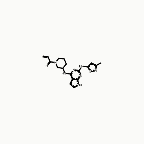 C=CC(=O)N1CCCC(Nc2nc(Nc3cc(C)ns3)nc3[nH]ccc23)C1